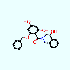 O=C(c1c(O)cc(O)cc1OCc1ccccc1)N1Cc2ccccc2C(O)C1